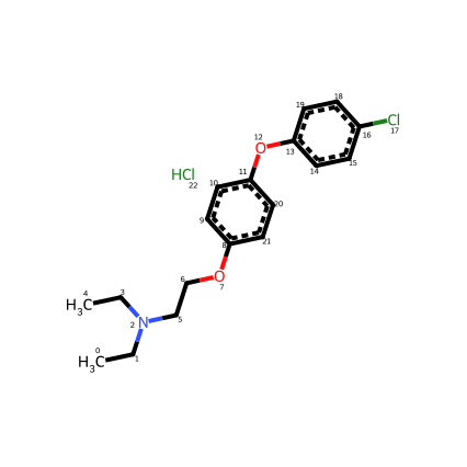 CCN(CC)CCOc1ccc(Oc2ccc(Cl)cc2)cc1.Cl